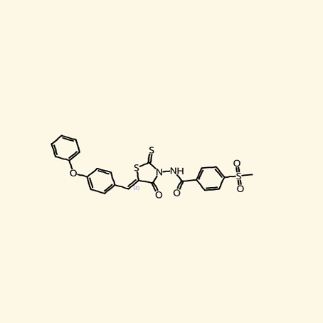 CS(=O)(=O)c1ccc(C(=O)NN2C(=O)/C(=C/c3ccc(Oc4ccccc4)cc3)SC2=S)cc1